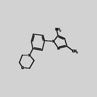 Cc1cc(N)n(-c2cccc(N3CCOCC3)c2)n1